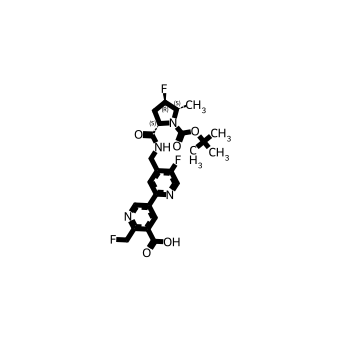 C[C@H]1[C@H](F)C[C@@H](C(=O)NCc2cc(-c3cnc(CF)c(C(=O)O)c3)ncc2F)N1C(=O)OC(C)(C)C